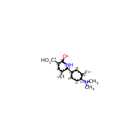 CCc1cc(C(=O)O)c(=O)[nH]c1-c1ccc(N(C)C)c(F)c1